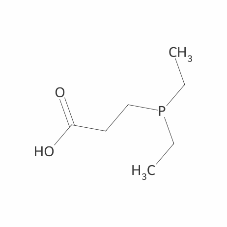 CCP(CC)CCC(=O)O